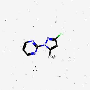 O=C(O)c1cc(Cl)nn1-c1ncccn1